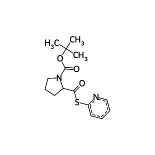 CC(C)(C)OC(=O)N1CCCC1C(=O)Sc1ccccn1